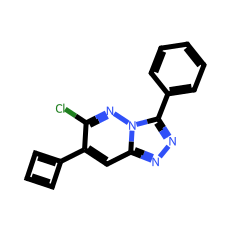 Clc1nn2c(-c3ccccc3)nnc2cc1C1=CC=C1